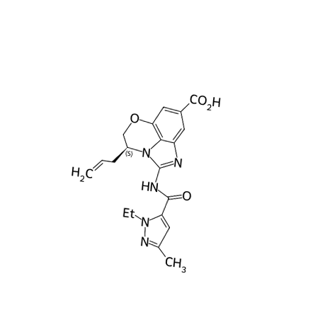 C=CC[C@H]1COc2cc(C(=O)O)cc3nc(NC(=O)c4cc(C)nn4CC)n1c23